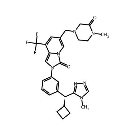 CN1CCN(Cc2cc(C(F)(F)F)c3cn(-c4cccc([C@@H](c5nncn5C)C5CCC5)c4)c(=O)n3c2)CC1=O